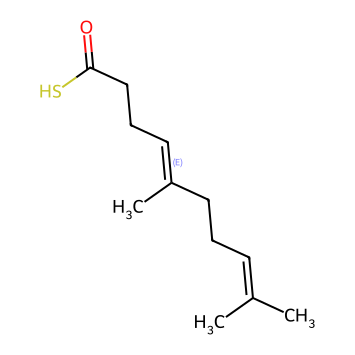 CC(C)=CCC/C(C)=C/CCC(=O)S